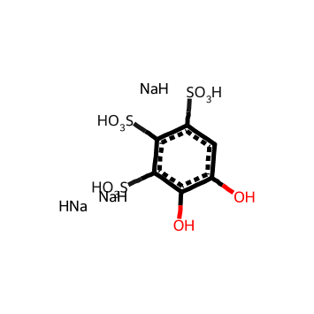 O=S(=O)(O)c1cc(O)c(O)c(S(=O)(=O)O)c1S(=O)(=O)O.[NaH].[NaH].[NaH]